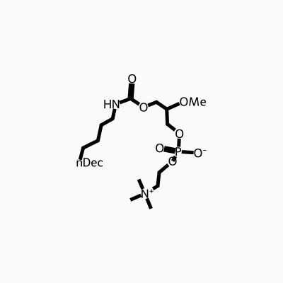 CCCCCCCCCCCCCCNC(=O)OCC(COP(=O)([O-])OCC[N+](C)(C)C)OC